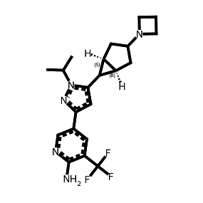 CC(C)n1nc(-c2cnc(N)c(C(F)(F)F)c2)cc1C1[C@H]2CC(N3CCC3)C[C@@H]12